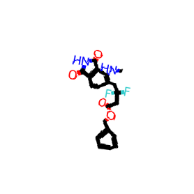 CNc1c(CC(F)(F)CC(=O)OCc2ccccc2)ccc2c1C(=O)NC2=O